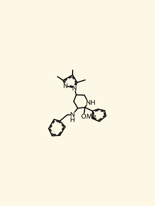 COC1(c2ccccc2)NCC(n2nc(C)c(C)c2C)CC1NCc1ccccc1